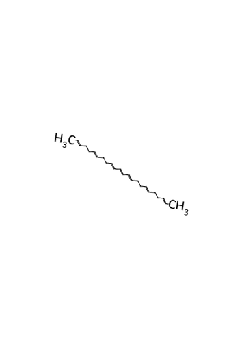 CC=CCCC=CCCC=CC=CC=CCCC=CCCC=CC